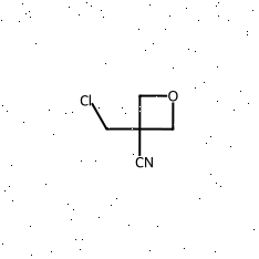 N#CC1(CCl)COC1